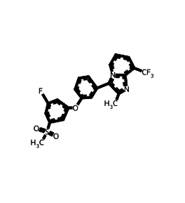 Cc1nc2c(C(F)(F)F)cccn2c1-c1cccc(Oc2cc(F)cc(S(C)(=O)=O)c2)c1